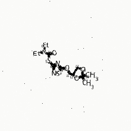 CCN(CC)C(=O)Sc1nsc(OCC2COC(C)(C)O2)n1